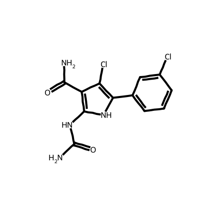 NC(=O)Nc1[nH]c(-c2cccc(Cl)c2)c(Cl)c1C(N)=O